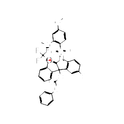 COc1ccc(S(=O)(=O)N2C(=O)C(OC(=O)Oc3ccccc3)(c3ccccc3OC(F)(F)F)c3cc(Cl)ccc32)c(OC)c1